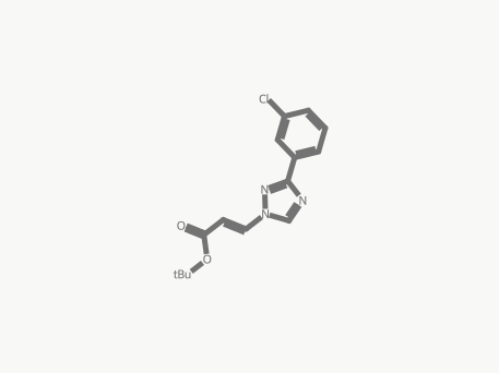 CC(C)(C)OC(=O)C=Cn1cnc(-c2cccc(Cl)c2)n1